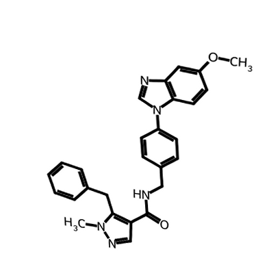 COc1ccc2c(c1)ncn2-c1ccc(CNC(=O)c2cnn(C)c2Cc2ccccc2)cc1